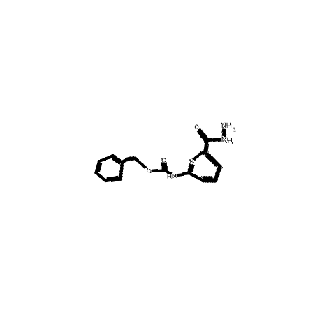 NNC(=O)c1cccc(NC(=O)OCc2ccccc2)n1